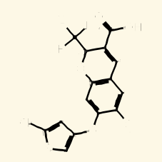 O=C(O)C1=Cc2cc(Cl)c(Oc3csc(Cl)c3)cc2OC1C(F)(F)F